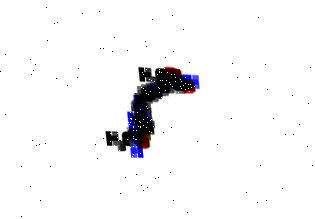 C[C@@H]1CNc2c(sc3ccc4nc(N5CCN(CC6CCC7(CC6)CN(c6ccc8c(c6)n(C)c(=O)n8C6CCC(=O)NC6=O)C7)CC5)ccc4c23)C(=O)N1